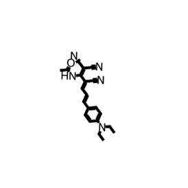 CCN(CC)c1ccc(/C=C/C=C(\C#N)C(NC(C)=O)=C(C#N)C#N)cc1